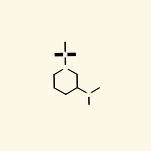 CN(C1CCCN(S(C)(=O)=O)C1)C(C)(C)C